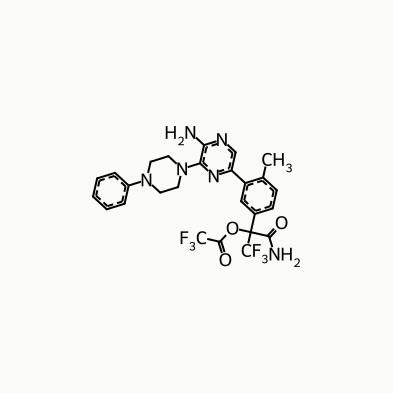 Cc1ccc(C(OC(=O)C(F)(F)F)(C(N)=O)C(F)(F)F)cc1-c1cnc(N)c(N2CCN(c3ccccc3)CC2)n1